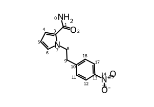 NC(=O)c1cccn1CCc1ccc([N+](=O)[O-])cc1